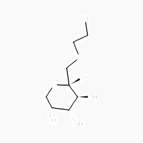 O[C@@H]1[C@H](O)CO[C@](O)(COCCCl)[C@H]1O